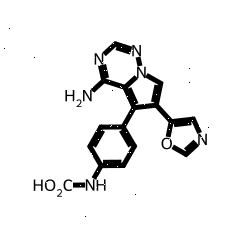 Nc1ncnn2cc(-c3cnco3)c(-c3ccc(NC(=O)O)cc3)c12